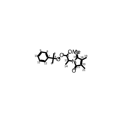 COC(OOC(C)(C)c1ccccc1)C(C)N1C(=O)C(C)=C(C)C1=O